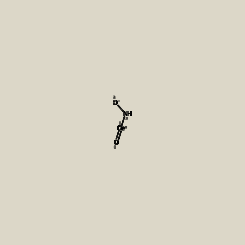 [O]=[Ge+][NH][O-]